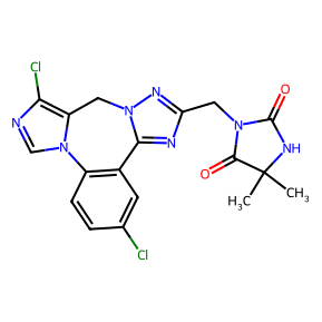 CC1(C)NC(=O)N(Cc2nc3n(n2)Cc2c(Cl)ncn2-c2ccc(Cl)cc2-3)C1=O